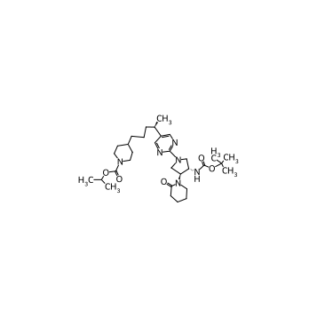 CC(C)OC(=O)N1CCC(CCC[C@@H](C)c2cnc(N3C[C@H](NC(=O)OC(C)(C)C)[C@@H](N4CCCCC4=O)C3)nc2)CC1